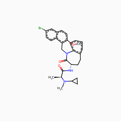 COc1ccc2cc(Br)ccc2c1CN1C(=O)[C@@H](NC(=O)[C@H](C)N(C)C2CC2)CCc2ccccc21